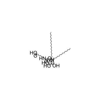 CCCCCCCCCCCCCCCCCC(=O)N(CCCCCCCCCCCCCC)[C@@H]1O[C@H](CO)[C@@H](O)[C@H](O)[C@@H]1NC(=O)CNCCCCCC(=O)O